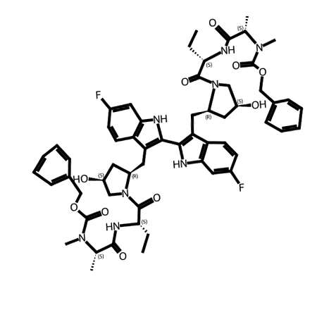 CC[C@H](NC(=O)[C@H](C)N(C)C(=O)OCc1ccccc1)C(=O)N1C[C@@H](O)C[C@H]1Cc1c(-c2[nH]c3cc(F)ccc3c2C[C@@H]2C[C@H](O)CN2C(=O)[C@H](CC)NC(=O)[C@H](C)N(C)C(=O)OCc2ccccc2)[nH]c2cc(F)ccc12